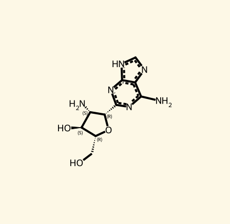 Nc1nc([C@@H]2O[C@H](CO)[C@@H](O)[C@@H]2N)nc2[nH]cnc12